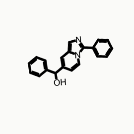 OC(c1ccccc1)c1ccn2c(-c3ccccc3)ncc2c1